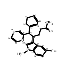 Cn1cc(C(CCC(N)=O)C(C2=CC=CCC2)C2=COC=CO2)c2cc(F)ccc21